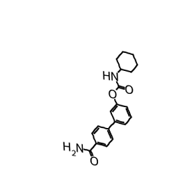 NC(=O)c1ccc(-c2cccc(OC(=O)NC3CCCCC3)c2)cc1